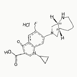 Cl.O=C(O)c1cn(C2CC2)c2cc(N3C[C@H]4CCCN[C@H]4C3)c(F)cc2c1=O